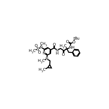 CC1CC1CN(C)c1cc(C(=O)NCC(=O)[C@@](C)(Cc2ccccc2)NC(=O)OC(C)(C)C)cc(N(C)S(C)(=O)=O)n1